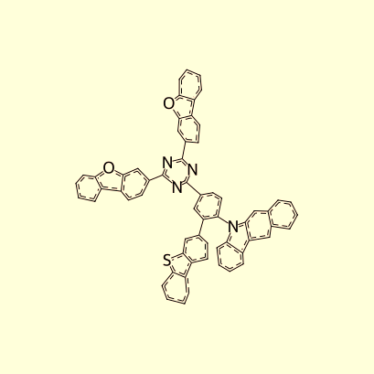 c1ccc2cc3c(cc2c1)c1ccccc1n3-c1ccc(-c2nc(-c3ccc4c(c3)oc3ccccc34)nc(-c3ccc4c(c3)oc3ccccc34)n2)cc1-c1ccc2c(c1)sc1ccccc12